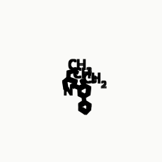 C=Cc1ccc(-c2ccccc2)cc1-c1cc(CC(C)C)ccn1